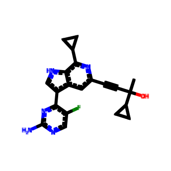 CC(O)(C#Cc1cc2c(-c3nc(N)ncc3F)c[nH]c2c(C2CC2)n1)C1CC1